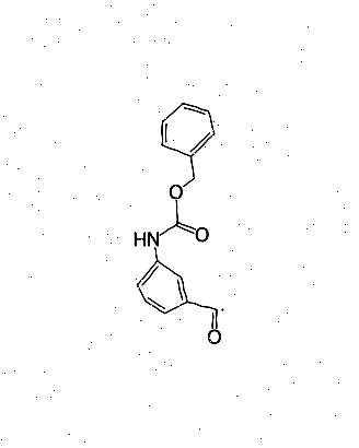 O=[C]c1cccc(NC(=O)OCc2ccccc2)c1